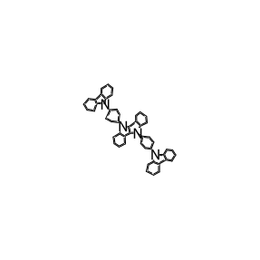 c1ccc2c(c1)c1ccccc1n2-c1ccc(-n2c3ccccc3c3c2c2ccccc2n3-c2ccc(-n3c4ccccc4c4ccccc43)cc2)cc1